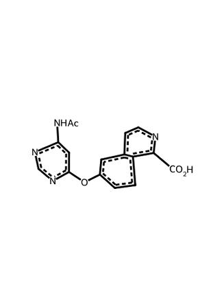 CC(=O)Nc1cc(Oc2ccc3c(C(=O)O)nccc3c2)ncn1